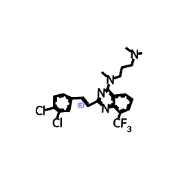 CN(C)CCCN(C)c1nc(/C=C/c2ccc(Cl)c(Cl)c2)nc2c(C(F)(F)F)cccc12